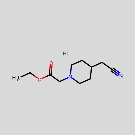 CCOC(=O)CN1CCC(CC#N)CC1.Cl